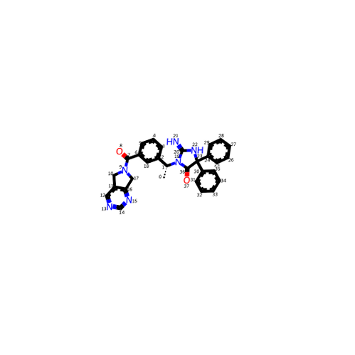 C[C@H](c1cccc(C(=O)N2Cc3cncnc3C2)c1)N1C(=N)NC(c2ccccc2)(c2ccccc2)C1=O